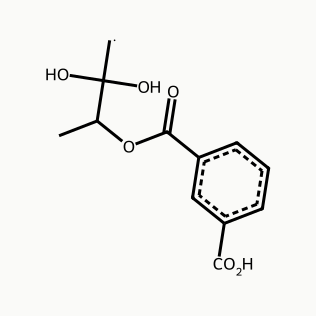 [CH2]C(O)(O)C(C)OC(=O)c1cccc(C(=O)O)c1